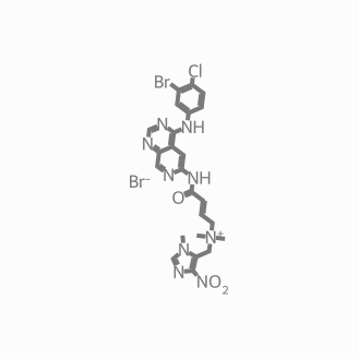 Cn1cnc([N+](=O)[O-])c1C[N+](C)(C)C/C=C/C(=O)Nc1cc2c(Nc3ccc(Cl)c(Br)c3)ncnc2cn1.[Br-]